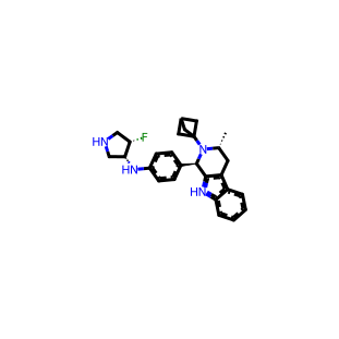 C[C@@H]1Cc2c([nH]c3ccccc23)[C@@H](c2ccc(N[C@@H]3CNC[C@@H]3F)cc2)N1C12CC(C1)C2